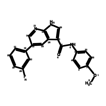 COc1ccc(NC(=O)c2c[nH]c3ncc(-c4cccc(F)c4)cc23)cc1